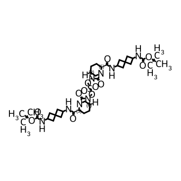 CC(C)(C)OC(=O)NC1CC2(C1)CC(NC(=O)[C@@H]1CC[C@@H]3CN1C(=O)N3OS(=O)(=O)ON1C(=O)N3C[C@H]1CC[C@H]3C(=O)NC1CC3(CC(NC(=O)OC(C)(C)C)C3)C1)C2